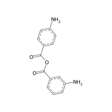 Nc1ccc(C(=O)OC(=O)c2cccc(N)c2)cc1